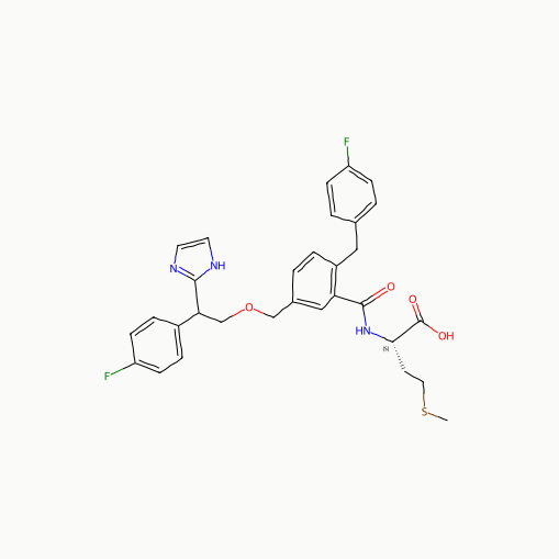 CSCC[C@H](NC(=O)c1cc(COCC(c2ccc(F)cc2)c2ncc[nH]2)ccc1Cc1ccc(F)cc1)C(=O)O